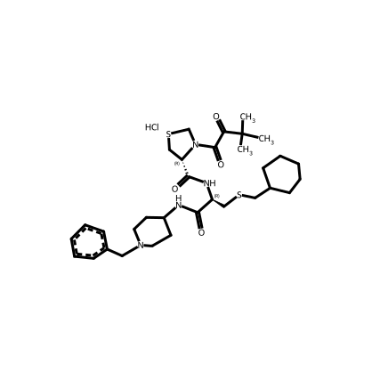 CC(C)(C)C(=O)C(=O)N1CSC[C@H]1C(=O)N[C@@H](CSCC1CCCCC1)C(=O)NC1CCN(Cc2ccccc2)CC1.Cl